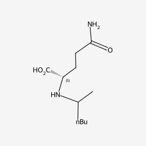 CCCCC(C)N[C@@H](CCC(N)=O)C(=O)O